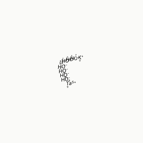 [K+].[Li+].[OH-].[OH-].[OH-].[OH-].[OH-].[OH-].[OH-].[Ta+5]